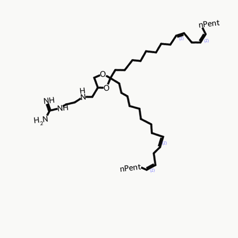 CCCCC/C=C\C/C=C\CCCCCCCCC1(CCCCCCCC/C=C\C/C=C\CCCCC)OCC(CNCCNC(=N)N)O1